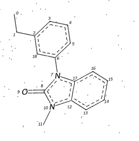 CCc1cccc(-n2c(=O)n(C)c3ccccc32)c1